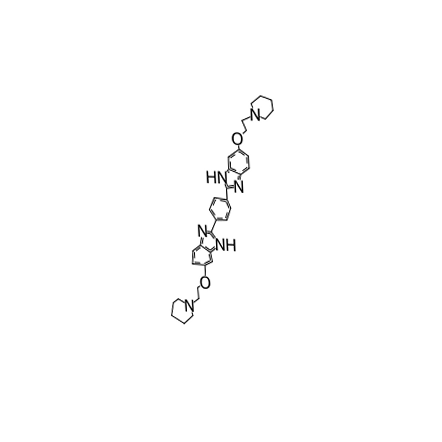 c1cc2nc(-c3ccc(-c4nc5ccc(OCCN6CCCCC6)cc5[nH]4)cc3)[nH]c2cc1OCCN1CCCCC1